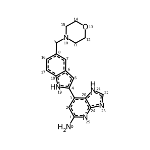 Nc1cc(-c2cc3cc(CN4CCOCC4)ccc3[nH]2)c2[nH]cnc2n1